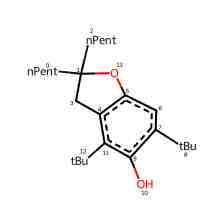 CCCCCC1(CCCCC)Cc2c(cc(C(C)(C)C)c(O)c2C(C)(C)C)O1